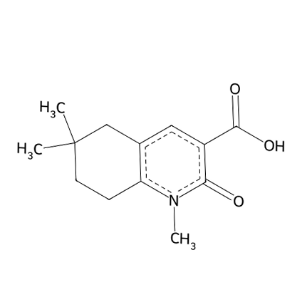 Cn1c2c(cc(C(=O)O)c1=O)CC(C)(C)CC2